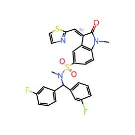 CN1C(=O)/C(=C/c2nccs2)c2cc(S(=O)(=O)N(C)C(c3cccc(F)c3)c3cccc(F)c3)ccc21